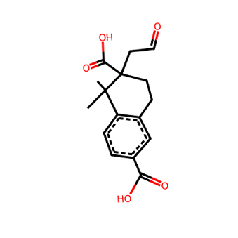 CC1(C)c2ccc(C(=O)O)cc2CCC1(CC=O)C(=O)O